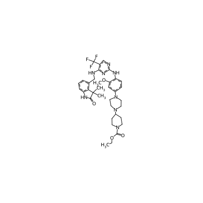 CCOC(=O)N1CCC(N2CCN(c3ccc(Nc4ncc(C(F)(F)F)c(NCc5cccc6c5C(C)(C)C(=O)N6)n4)c(OC)c3)CC2)CC1